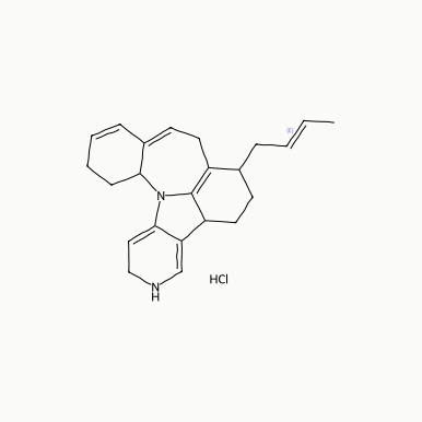 C/C=C/CC1CCC2C3=CNCC=C3N3C2=C1CC=C1C=CCCC13.Cl